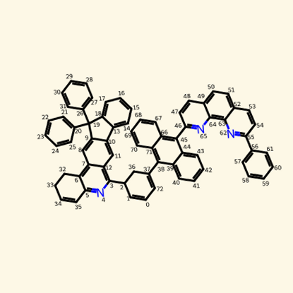 C1=CC(c2nc3c(c4cc5c(cc24)-c2ccccc2C5(c2ccccc2)c2ccccc2)CCC=C3)CC(c2c3ccccc3c(-c3ccc4ccc5ccc(-c6ccccc6)nc5c4n3)c3ccccc23)=C1